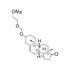 COCCOCOC1CC[C@@]2(C)C(=CC[C@@H]3[C@H]2CC[C@]2(C)C(=O)CC[C@@H]32)C1